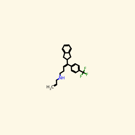 C=CCNCCC=C(c1ccc(C(F)(F)F)cc1)C1Cc2ccccc2C1